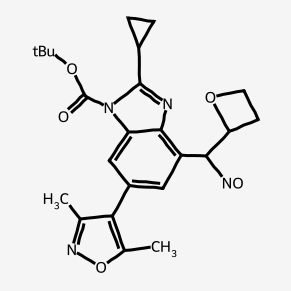 Cc1noc(C)c1-c1cc(C(N=O)C2CCO2)c2nc(C3CC3)n(C(=O)OC(C)(C)C)c2c1